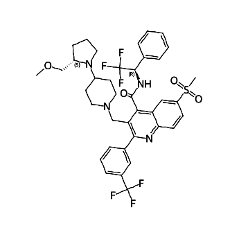 COC[C@@H]1CCCN1C1CCN(Cc2c(-c3cccc(C(F)(F)F)c3)nc3ccc(S(C)(=O)=O)cc3c2C(=O)N[C@H](c2ccccc2)C(F)(F)F)CC1